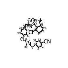 N#Cc1ccc(CN2CC(Oc3ccc(C[C@H](NC(=O)c4c(Cl)cccc4Cl)C(=O)O)cc3)C2)cc1